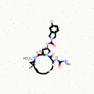 CC(C)(C)NC(=O)N[C@H]1CCCCC/C=C\[C@@H]2C[C@@]2(C(=O)O)NC(=O)[C@@H]2C[C@@H](OC(=O)N3Cc4ccc(Cl)cc4C3)CN2C1=O